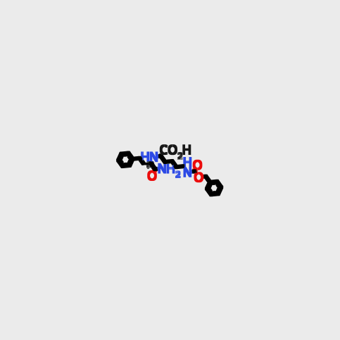 NC(=O)[C@H](CCc1ccccc1)NC(CCCCNC(=O)OCc1ccccc1)C(=O)O